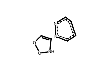 C1=COON1.c1ccnnc1